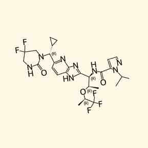 CC(C)n1nccc1C(=O)N[C@H](c1nc2nc([C@@H](C3CC3)N3CC(F)(F)CNC3=O)ccc2[nH]1)[C@@H](C)O[C@H](C)C(F)(F)F